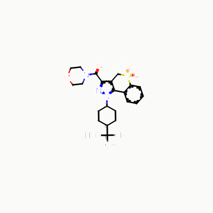 CC(C)(C)C1CCC(n2nc(C(=O)N3CCOCC3)c3c2-c2ccccc2S(=O)(=O)C3)CC1